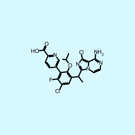 CC(C)Oc1c(C(C)c2nc(Cl)c3c(N)nccn23)cc(Cl)c(F)c1-c1ccc(C(=O)O)nc1